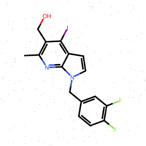 Cc1nc2c(ccn2Cc2ccc(F)c(F)c2)c(I)c1CO